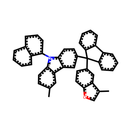 Cc1ccc2c(c1)c1cc(C3(c4ccc5occ(C)c5c4)c4ccccc4-c4ccccc43)ccc1n2-c1cccc2ccccc12